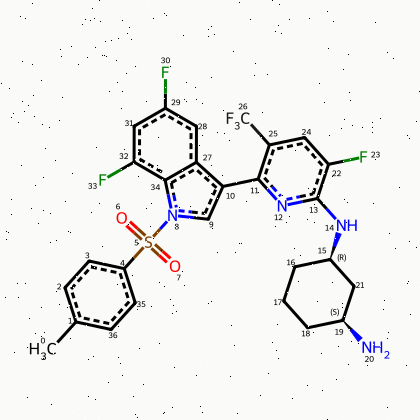 Cc1ccc(S(=O)(=O)n2cc(-c3nc(N[C@@H]4CCC[C@H](N)C4)c(F)cc3C(F)(F)F)c3cc(F)cc(F)c32)cc1